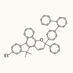 CCc1ccc2c(c1)C(C)(C)c1c3c(c4ccccc4c1-2)OC(c1ccccc1)(c1ccc(-c2ccccc2-c2ccccc2)cc1)C=C3